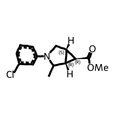 COC(=O)[C@@H]1[C@H]2CN(c3cccc(Cl)c3)C(C)[C@H]21